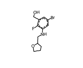 OCc1cc(Br)cc(NCC2CCCO2)c1F